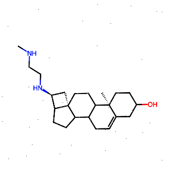 CNCCN[C@H]1C[C@]23CCC4C(CC=C5CC(O)CC[C@@]54C)C2CCC13